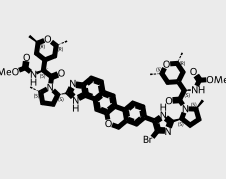 COC(=O)N[C@H](C(=O)N1[C@@H](C)CC[C@H]1c1nc(Br)c(-c2ccc3c(c2)COc2cc4c(ccc5nc([C@@H]6CC[C@H](C)N6C(=O)[C@@H](NC(=O)OC)C6C[C@@H](C)O[C@H](C)C6)[nH]c54)cc2-3)[nH]1)C1C[C@@H](C)O[C@@H](C)C1